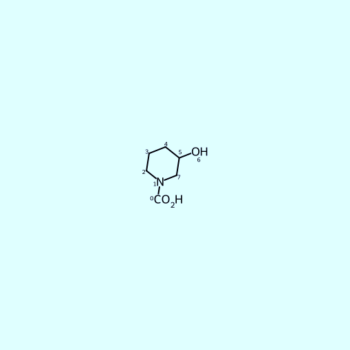 O=C(O)N1CCCC(O)C1